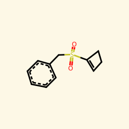 O=S(=O)(Cc1ccccc1)C1=CCC1